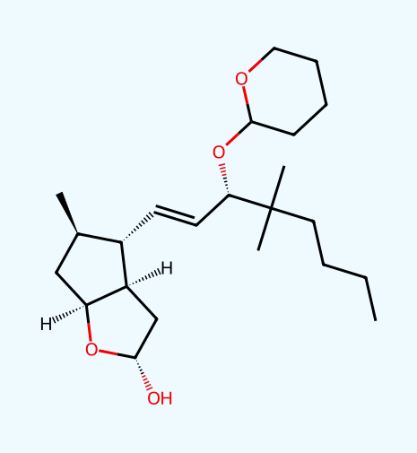 CCCCC(C)(C)[C@H](C=C[C@@H]1[C@H]2C[C@H](O)O[C@H]2C[C@H]1C)OC1CCCCO1